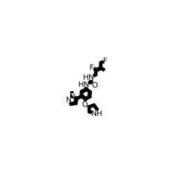 C/C(CF)=C(/F)CNC(=O)Nc1ccc(O[C@H]2CCNC2)c(-c2ccnn2C)c1